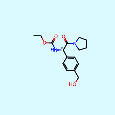 CCOC(=O)N[C@@H](C(=O)N1CCCC1)c1ccc(CO)cc1